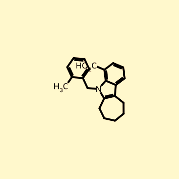 Cc1ccccc1Cn1c2c(c3cccc(C(=O)O)c31)CCCCC2